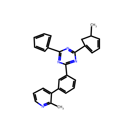 Cc1ncccc1-c1cccc(-c2nc(C3=CC=CC(C)C3)nc(-c3ccccc3)n2)c1